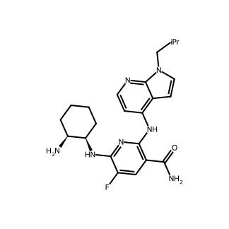 CC(C)Cn1ccc2c(Nc3nc(N[C@@H]4CCCC[C@@H]4N)c(F)cc3C(N)=O)ccnc21